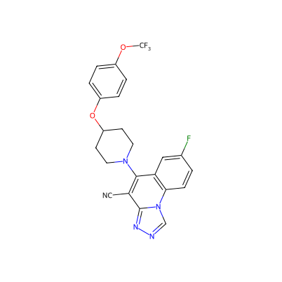 N#Cc1c(N2CCC(Oc3ccc(OC(F)(F)F)cc3)CC2)c2cc(F)ccc2n2cnnc12